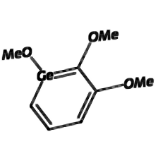 COC1=CC=[CH][Ge]([O]C)=[C]1OC